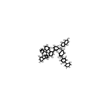 c1ccc(-c2ccc(-c3ccc(N(c4cccc(-c5cccc6c5-c5ccccc5C65c6ccccc6-n6c7ccccc7c7cccc5c76)c4)c4ccc5ccccc5c4)cc3)cc2)cc1